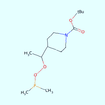 CC(OOP(C)C)C1CCN(C(=O)OC(C)(C)C)CC1